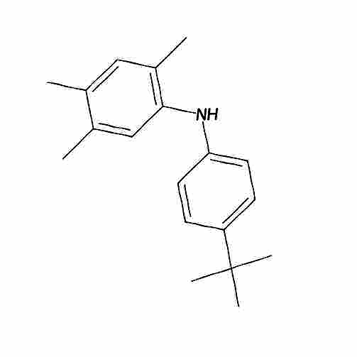 Cc1cc(C)c(Nc2ccc(C(C)(C)C)cc2)cc1C